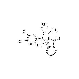 C=CCC(c1ccc(Cl)c(Cl)c1)[C@@]1(O)c2ccccc2C(=O)N1CC